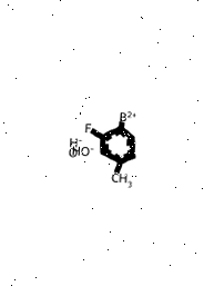 [B+2]c1ccc(C)cc1F.[OH-].[OH-]